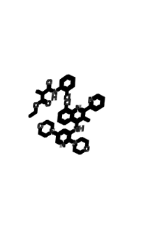 CCOC(=O)C(C)C(=O)Nc1ccccc1Cl.Cc1c(-c2ccccn2)nc2c(Cl)cccc2c1Nc1cc(N2CCOCC2)cnc1N1CCOCC1